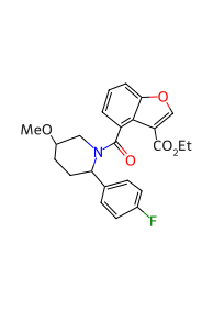 CCOC(=O)c1coc2cccc(C(=O)N3CC(OC)CCC3c3ccc(F)cc3)c12